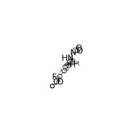 C=C(C)C[C@@H]1CC[C@]2(NCCN3CCCS(=O)(=O)CC3)CC[C@]3(C)[C@H](CCC4[C@@]5(C)CC=C(C6=CC[C@](CF)(C(=O)OCc7ccccc7)CC6)C(C)(C)C5CC[C@]43C)C12